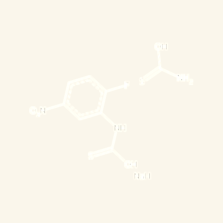 NC(O)=S.O=[N+]([O-])c1ccc(F)c(NC(O)=S)c1.[NaH]